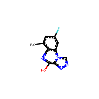 Oc1nc2c(C(F)(F)F)cc(F)cc2n2cnnc12